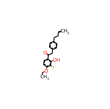 C=CCCc1ccc(CC(=O)c2ccc(OCC)c(F)c2O)cc1